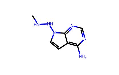 CNNn1ccc2c(N)ncnc21